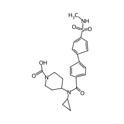 CNS(=O)(=O)c1ccc(-c2ccc(C(=O)N(C3CC3)C3CCN(C(=O)O)CC3)cc2)cc1